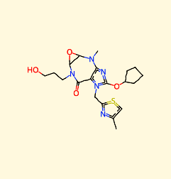 Cc1csc(Cn2c(OC3CCCC3)nc3c2C(=O)N(CCCO)C2OC2N3C)n1